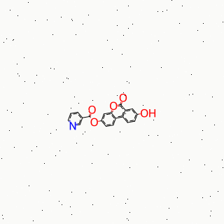 O=C(Oc1ccc2c(c1)oc(=O)c1cc(O)ccc12)c1cccnc1